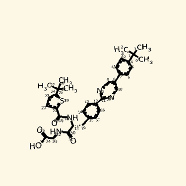 CC(C)(C)c1ccc(-c2cnc(-c3ccc(C[C@@H](NC(=O)c4ccc(C(C)(C)C)s4)C(=O)NCC(=O)O)cc3)nc2)cc1